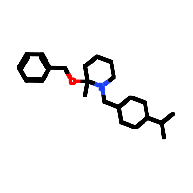 CC(C)C1CCC(CN2CCCCC2(C)OCc2ccccc2)CC1